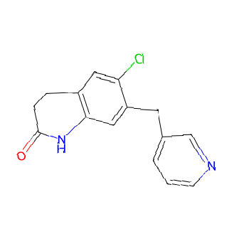 O=C1CCc2cc(Cl)c(Cc3cccnc3)cc2N1